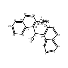 COc1ccc2ccccc2c1C(O)c1c(OC)ccc2ccccc12